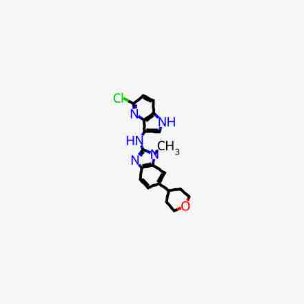 Cn1c(Nc2c[nH]c3ccc(Cl)nc23)nc2ccc(C3CCOCC3)cc21